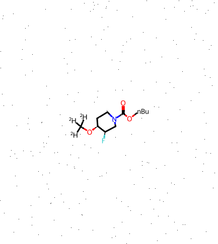 [2H]C([2H])([2H])O[C@H]1CCN(C(=O)OCCCC)C[C@H]1F